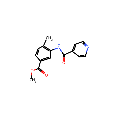 COC(=O)c1ccc(C)c(NC(=O)c2ccncc2)c1